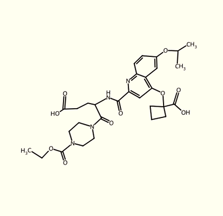 CCOC(=O)N1CCN(C(=O)C(CCC(=O)O)NC(=O)c2cc(OC3(C(=O)O)CCC3)c3cc(OC(C)C)ccc3n2)CC1